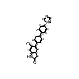 O=C1Cc2cc(-c3ccc(-c4ccc(-n5cncn5)cc4)cc3)c(Cl)cc2N1